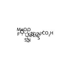 COC(=O)C1=C(CN2CCN3C(=S)N(CC(C)(C)C(=O)O)CC3C2)NC(c2nccs2)=CC1c1cccc(F)c1C